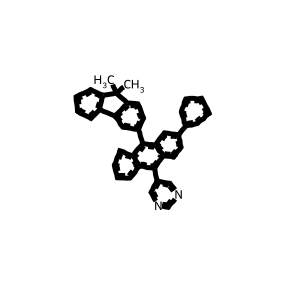 CC1(C)c2ccccc2-c2cc(-c3c4ccccc4c(-c4cncnc4)c4ccc(-c5ccccc5)cc34)ccc21